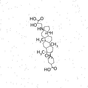 CC1(C)C(C2=CCC(C(=O)O)CC2)=CCC2(C)C1CCC1(C)C3CCC4(NCC(O)C(=O)O)CCC[C@@H]4C3CCC12